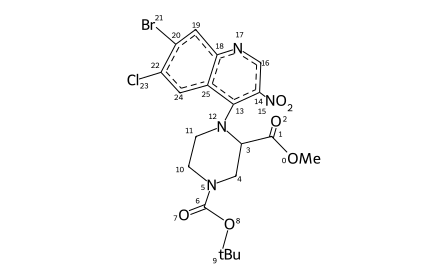 COC(=O)C1CN(C(=O)OC(C)(C)C)CCN1c1c([N+](=O)[O-])cnc2cc(Br)c(Cl)cc12